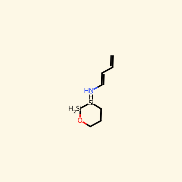 C=CC=CN[SiH]1CCCO[SiH2]1